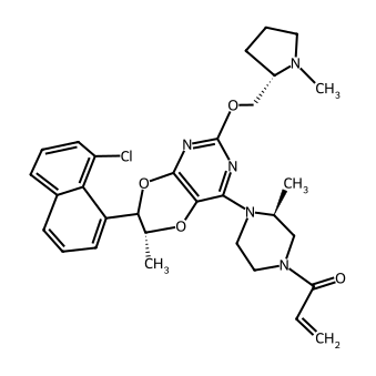 C=CC(=O)N1CCN(c2nc(OC[C@@H]3CCCN3C)nc3c2O[C@H](C)C(c2cccc4cccc(Cl)c24)O3)[C@@H](C)C1